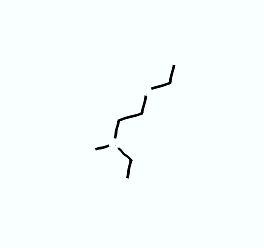 O=[C]CSCCN(CC(Cl)(Cl)Cl)C(=O)O